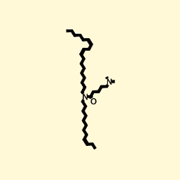 CC/C=C\CCCCCCCCN(CCCCCCCC/C=C\C/C=C\CCCCC)C(=O)CCCCN(C)C